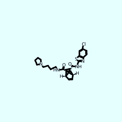 O=C(NCCCCN1CCCC1)[C@H]1[C@H](C(=O)Nc2nc3ccc(Cl)cc3s2)[C@@H]2C=C[C@H]1C21CC1